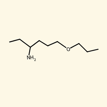 CCCOCCCC(N)CC